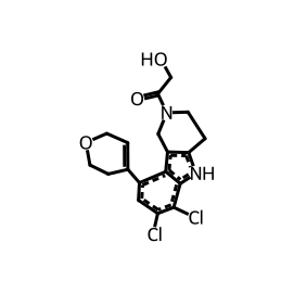 O=C(CO)N1CCc2[nH]c3c(Cl)c(Cl)cc(C4=CCOCC4)c3c2C1